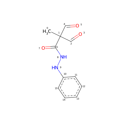 CC(C=O)(C=O)C(=O)NNc1ccccc1